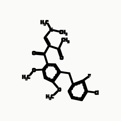 COc1cc(OC)c(C(=O)C(=CN(C)C)C(C)=O)cc1Cc1cccc(Cl)c1F